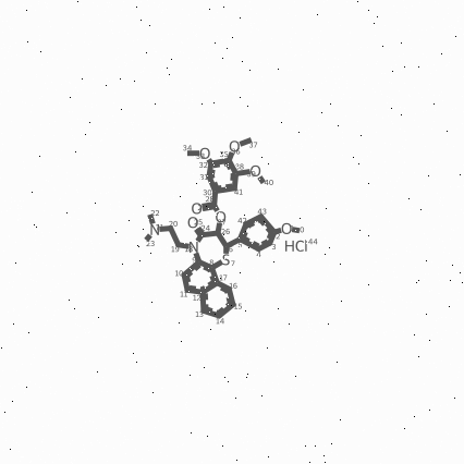 COc1ccc(C2Sc3c(ccc4ccccc34)N(CCN(C)C)C(=O)C2OC(=O)c2cc(OC)c(OC)c(OC)c2)cc1.Cl